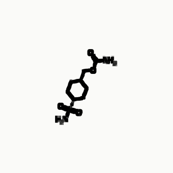 NC(=O)OC[C@H]1CC[C@H](S(N)(=O)=O)CC1